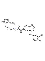 C[N+](C)(C/C=C/C(=O)Nc1cc2c(Nc3ccc(F)c(Br)c3)ncnc2cn1)Cc1[nH]cnc1[N+](=O)[O-]